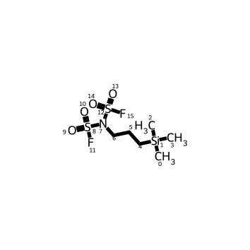 C[Si](C)(C)CCCN(S(=O)(=O)F)S(=O)(=O)F